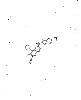 CN(C)Cc1ccc2nc(Nc3cc4c(cn3)cc(C#N)c(=S)n4C3CCCC3)sc2c1